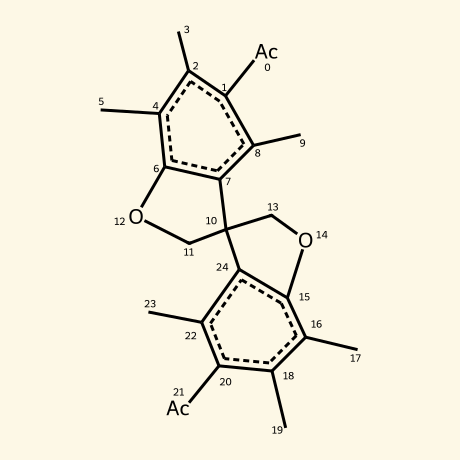 CC(=O)c1c(C)c(C)c2c(c1C)C1(CO2)COc2c(C)c(C)c(C(C)=O)c(C)c21